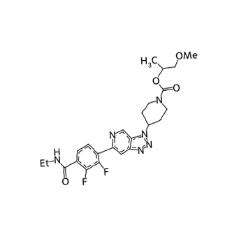 CCNC(=O)c1ccc(-c2cc3nnn(C4CCN(C(=O)OC(C)COC)CC4)c3cn2)c(F)c1F